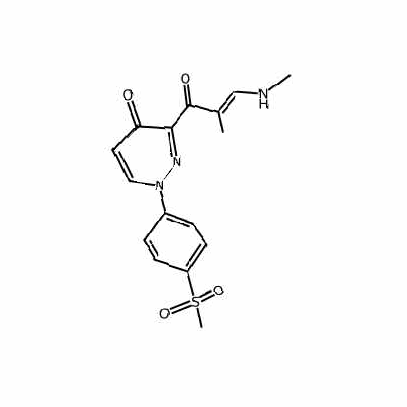 CN/C=C(\C)C(=O)c1nn(-c2ccc(S(C)(=O)=O)cc2)ccc1=O